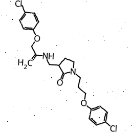 C=C(COc1ccc(Cl)cc1)NCC1CCN(CCCOc2ccc(Cl)cc2)C1=O